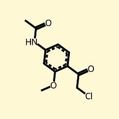 COc1cc(NC(C)=O)ccc1C(=O)CCl